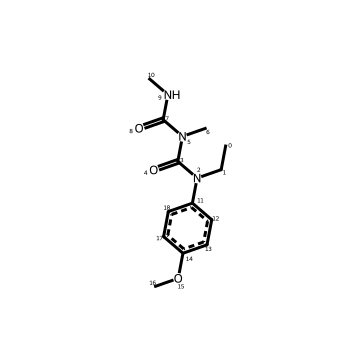 CCN(C(=O)N(C)C(=O)NC)c1ccc(OC)cc1